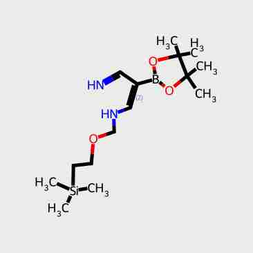 CC1(C)OB(/C(C=N)=C/NCOCC[Si](C)(C)C)OC1(C)C